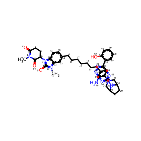 CN1C(=O)CCC(n2c(=O)n(C)c3cc(CCCCCCCc4cnc(N5C6CCC5CN(c5cc(-c7ccccc7O)nnc5N)C6)nc4)ccc32)C1=O